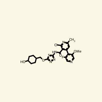 COc1cncc(F)c1-c1cc(C)nc(Cl)c1C(=O)Nc1nnc(OCC2CCC(O)CC2)s1